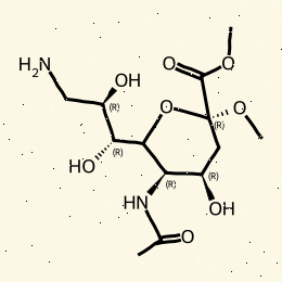 COC(=O)[C@@]1(OC)C[C@@H](O)[C@@H](NC(C)=O)C([C@H](O)[C@H](O)CN)O1